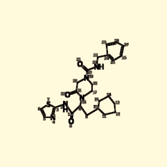 O=C(Nc1nccs1)C(CC1CCCCC1)N1CCN(C(=O)NCc2ccccc2)CC1=O